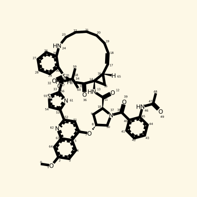 COc1ccc2c(O[C@@H]3C[C@@H](C(=O)N[C@]45C[C@H]4/C=C\CCCCCNc4ccccc4S(=O)(=O)NC5=O)N(C(=O)c4ccccc4NC(C)=O)C3)cc(-c3csc(NC(C)C)n3)nc2c1